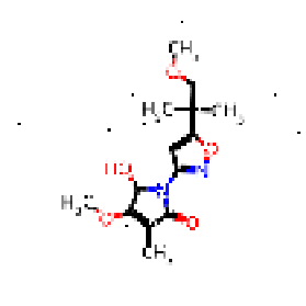 COCC(C)(C)c1cc(N2C(=O)C(C)=C(OC)C2O)no1